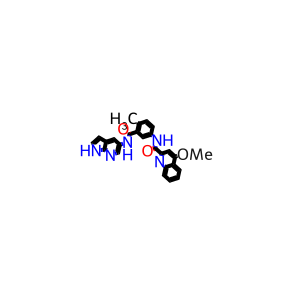 COc1cc(C(=O)Nc2ccc(C)c(C(=O)Nc3cnc4[nH]ccc4c3)c2)nc2ccccc12